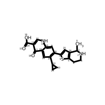 CC1NCCc2sc(-c3cc4[nH]cc(C(=O)O)c(=O)c4cc3C3CC3)cc21